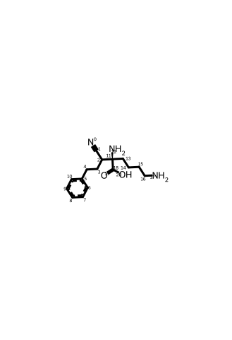 N#CC(CCc1ccccc1)[C@](N)(CCCCN)C(=O)O